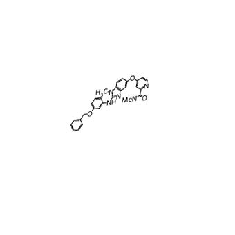 CNC(=O)c1cc(Oc2ccc3c(c2)nc(Nc2cccc(OCc4ccccc4)c2)n3C)ccn1